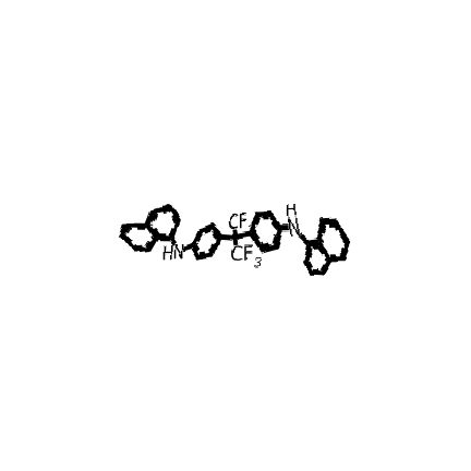 FC(F)(F)C(c1ccc(Nc2cccc3ccccc23)cc1)(c1ccc(Nc2cccc3ccccc23)cc1)C(F)(F)F